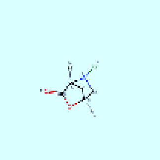 O=C1O[C@H]2C[C@@H]1N(Cl)C2